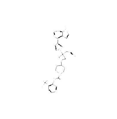 N#CCC1(n2ccc(-c3ncnc4[nH]ccc34)c2)CN(C2CCN(C(=O)Nc3cnccc3C(F)(F)F)CC2)C1